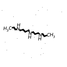 CCCNCCCCNCCCNCCC